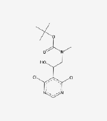 CN(CC(O)c1c(Cl)ncnc1Cl)C(=O)OC(C)(C)C